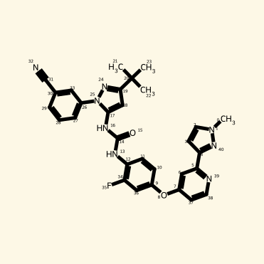 Cn1ccc(-c2cc(Oc3ccc(NC(=O)Nc4cc(C(C)(C)C)nn4-c4cccc(C#N)c4)c(F)c3)ccn2)n1